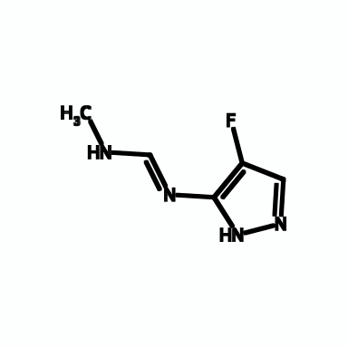 CN/C=N/c1[nH]ncc1F